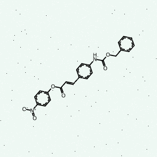 O=C(/C=C/c1ccc(NC(=O)OCc2ccccc2)cc1)Oc1ccc([N+](=O)[O-])cc1